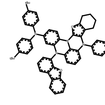 CC(C)(C)c1ccc(N(c2ccc(C(C)(C)C)cc2)c2ccc3c(c2)N(c2cccc4c2oc2ccccc24)c2cccc4c2B3c2oc3c(c2N4c2ccccc2)CCCC3)cc1